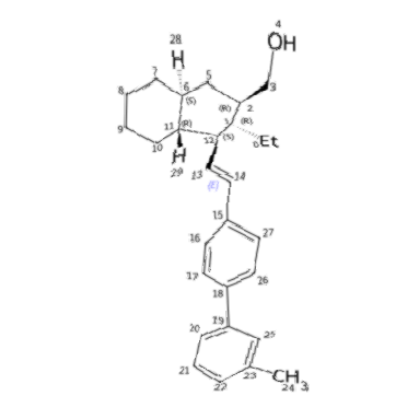 CC[C@H]1[C@H](CO)C[C@@H]2CCCC[C@H]2[C@@H]1/C=C/c1ccc(-c2cccc(C)c2)cc1